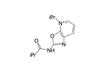 CC(C)C(=O)Nc1nc2ccc[n+](C(C)C)c2o1